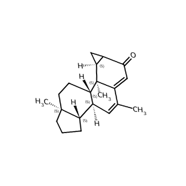 CC1=C[C@H]2[C@@H]3CCC[C@@]3(C)CC[C@@H]2[C@]2(C)C1=CC(=O)C1C[C@@H]12